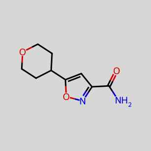 NC(=O)c1cc(C2CCOCC2)on1